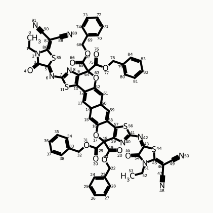 CCN1C(=O)/C(=N/c2nc3c(s2)C2=CC4C=C5OC(C(=O)OCc6ccccc6)(C(=O)OCc6ccccc6)c6nc(/N=C7/SC(=C(C#N)C#N)N(CC)C7=O)sc6C5=CC4C=C2OC3(C(=O)OCc2ccccc2)C(=O)OCc2ccccc2)SC1=C(C#N)C#N